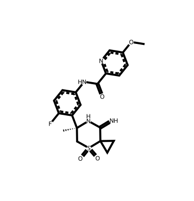 COc1ccc(C(=O)Nc2ccc(F)c([C@]3(C)CS(=O)(=O)C4(CC4)C(=N)N3)c2)nc1